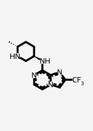 C[C@@H]1CC[C@@H](Nc2nccn3cc(C(F)(F)F)nc23)CN1